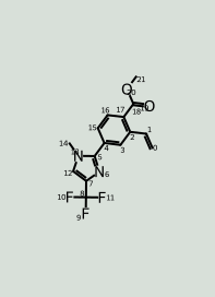 C=Cc1cc(-c2nc(C(F)(F)F)cn2C)ccc1C(=O)OC